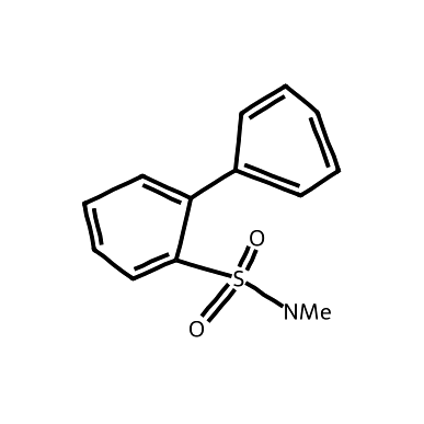 CNS(=O)(=O)c1ccccc1-c1ccccc1